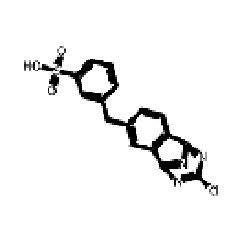 O=S(=O)(O)c1cccc(Cc2[c]c3c([c]c2)-c2nc(Cl)nc-3n2)c1